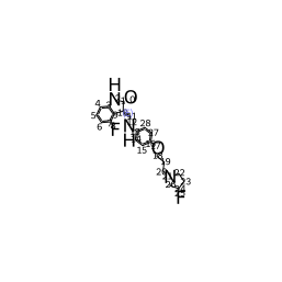 O=C1Nc2cccc(F)c2/C1=C\Nc1ccc(OCCCN2CCC(F)C2)cc1